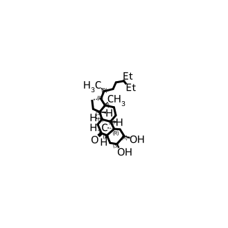 CCC(CC)CC[C@@H](C)[C@H]1CC[C@H]2[C@@H]3CC(=O)[C@H]4C[C@H](O)[C@H](O)C[C@]4(C)[C@H]3CC[C@]12C